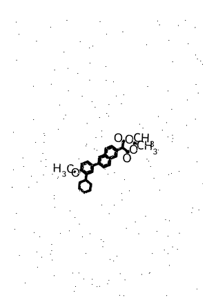 COc1ccc(-c2ccc3cc(C4C(=O)OC(C)(C)OC4=O)ccc3c2)cc1C1CCCCC1